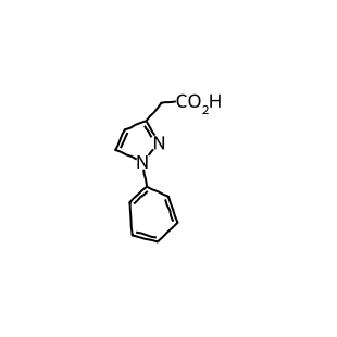 O=C(O)Cc1ccn(-c2ccccc2)n1